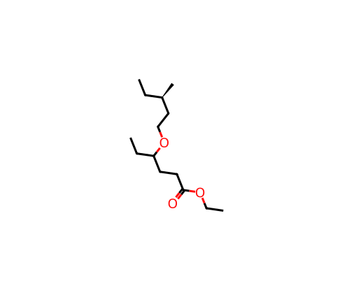 CCOC(=O)CCC(CC)OCC[C@H](C)CC